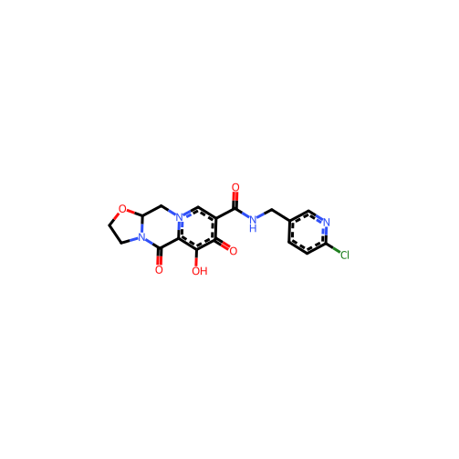 O=C(NCc1ccc(Cl)nc1)c1cn2c(c(O)c1=O)C(=O)N1CCOC1C2